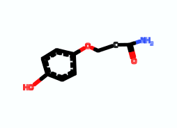 NC(=O)CCOc1ccc(O)cc1